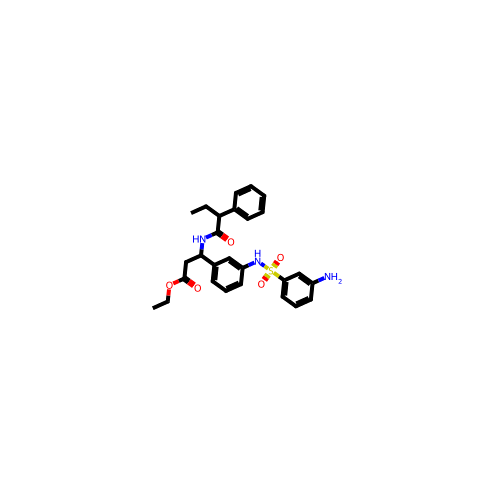 CCOC(=O)CC(NC(=O)C(CC)c1ccccc1)c1cccc(NS(=O)(=O)c2cccc(N)c2)c1